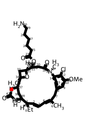 CC[C@@H]1/C=C/C=C(\C)Cc2cc(OC)c(Cl)c(c2)N(C)C(=O)C[C@H](OC(=O)CCCCCN)[C@@]2(C)CC(C)(O2)[C@@H]2C[C@@]1(O)NC(=O)O2